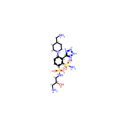 NCC1CCN(c2ccc(S(=O)(=O)NC[C@@H](O)CN)c(S(N)(=O)=O)c2-c2nnn[nH]2)CC1